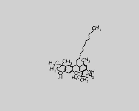 CCCCCCCCC[CH]CC(c1cc(C(C)(C)C)c(O)cc1C)c1cc(C(C)(C)C)c(O)cc1C